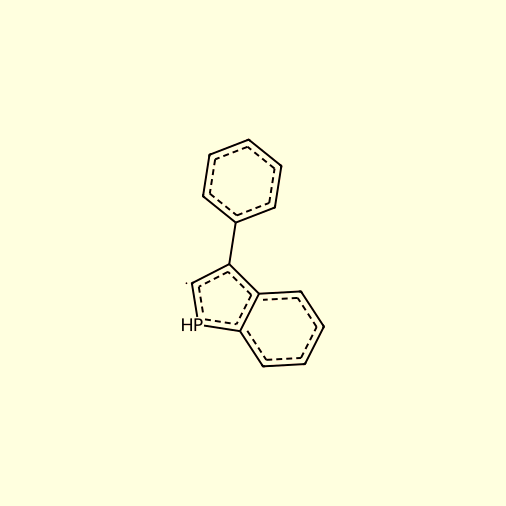 [c]1[pH]c2ccccc2c1-c1ccccc1